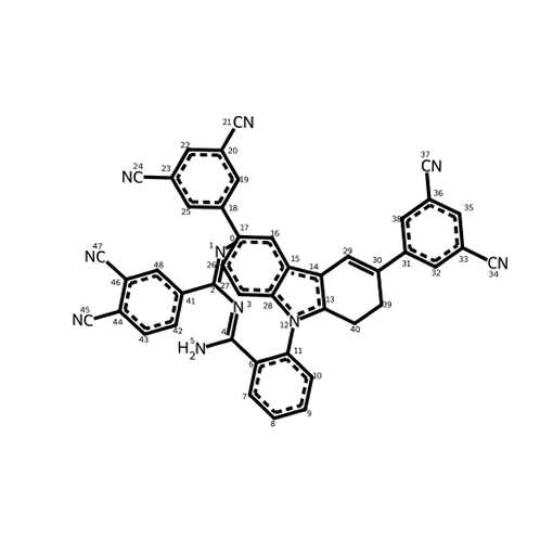 C/N=C(\N=C(/N)c1ccccc1-n1c2c(c3cc(-c4cc(C#N)cc(C#N)c4)ccc31)C=C(c1cc(C#N)cc(C#N)c1)CC2)c1ccc(C#N)c(C#N)c1